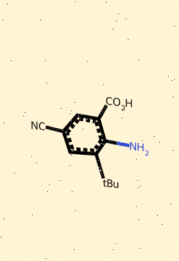 CC(C)(C)c1cc(C#N)cc(C(=O)O)c1N